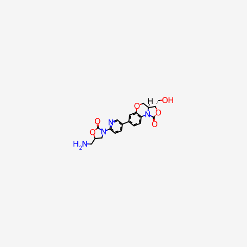 NCC1CN(c2ccc(-c3ccc4c(c3)OC[C@H]3[C@H](CO)OC(=O)N43)cn2)C(=O)O1